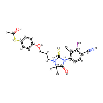 CC(=O)Sc1ccc(OCCCN2C(=S)N(c3ccc(C#N)c(I)c3C)C(=O)C2(C)C)cc1